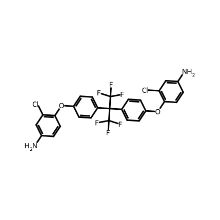 Nc1ccc(Oc2ccc(C(c3ccc(Oc4ccc(N)cc4Cl)cc3)(C(F)(F)F)C(F)(F)F)cc2)c(Cl)c1